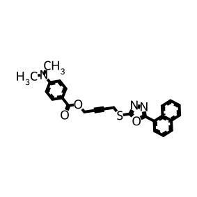 CN(C)c1ccc(C(=O)OCC#CCSc2nnc(-c3cccc4ccccc34)o2)cc1